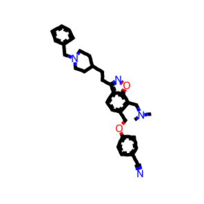 CN(C)Cc1c(COc2ccc(C#N)cc2)ccc2c(CCC3CCN(Cc4ccccc4)CC3)noc12